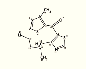 Cc1ncsc1C(=O)c1scnc1C.[Li][CH2]CCC